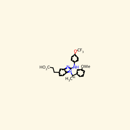 COc1cccc([C@@H](C)n2c(Nc3ccc(OC(F)(F)F)cc3)nc3cc(CCC(=O)O)ccc32)c1